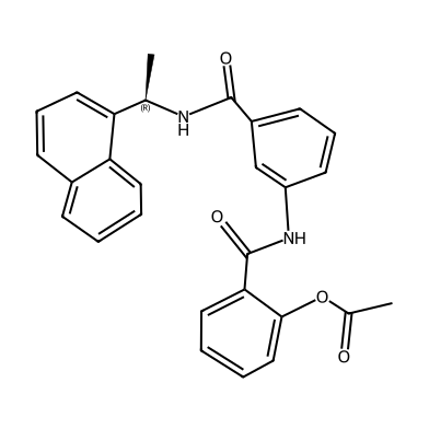 CC(=O)Oc1ccccc1C(=O)Nc1cccc(C(=O)N[C@H](C)c2cccc3ccccc23)c1